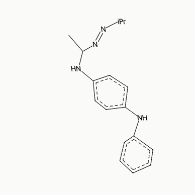 CC(C)N=NC(C)Nc1ccc(Nc2ccccc2)cc1